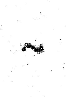 CN(CCN1CCCC1)c1ccc(Cn2cc(NC(=O)c3cncc(-c4c(C(F)F)ccc(Cl)c4F)n3)cn2)cn1